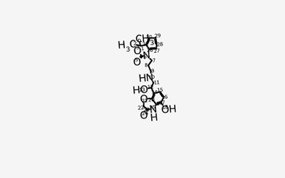 CC1(C)OC(=O)N(CCCNCC(O)c2ccc(O)c3c2OCC(=O)N3)c2ccccc21